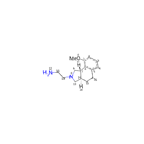 COc1cccc2c1[C@H]1CN(CCN)C[C@@H]1CC2